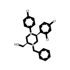 OC[C@H]1CN(c2ccc(Cl)cc2)[C@@H](c2ccc(Cl)cc2Cl)CN1Cc1ccccc1